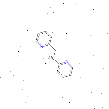 c1ccc(C[14CH]c2ccccn2)nc1